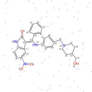 O=C1Nc2ccc([N+](=O)[O-])cc2C1=C(Nc1ccc(CN2CCC(CO)CC2)cc1)c1ccccc1